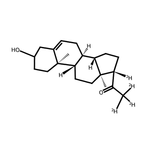 [2H]C([2H])([2H])C(=O)[C@@]1([2H])CC[C@H]2[C@@H]3CC=C4CC(O)CC[C@]4(C)[C@H]3CC[C@@]21C